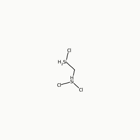 Cl[SiH2]C[SiH](Cl)Cl